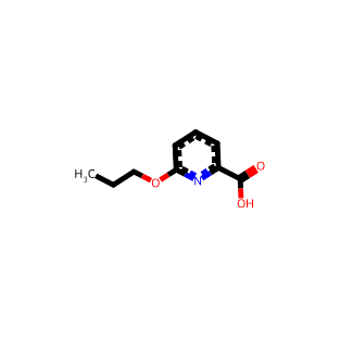 CCCOc1cccc(C(=O)O)n1